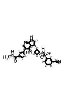 CNC(=O)c1cnc(-c2cnc3[nH]ccc3c2N[C@H]2C[C@@H](NS(=O)(=O)c3cccc(C#N)c3)C2)s1